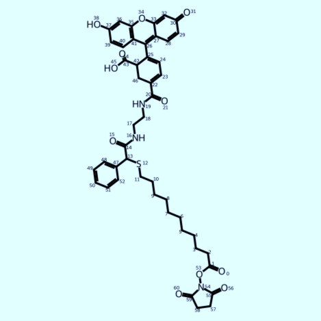 O=C(CCCCCCCCCCSC(C(=O)NCCNC(=O)C1=CC=C(c2c3ccc(=O)cc-3oc3cc(O)ccc23)C(C(=O)O)C1)c1ccccc1)ON1C(=O)CCC1=O